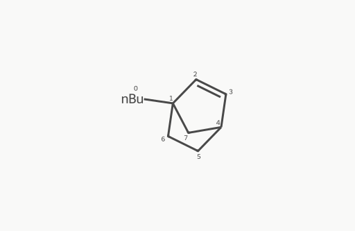 [CH2]CCCC12C=CC(CC1)C2